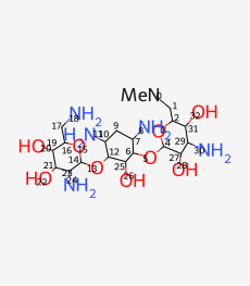 CNCC1OC(OC2C(N)CC(N)C(OC3OC(CN)C(O)C(O)C3N)C2O)C(O)C(N)C1O